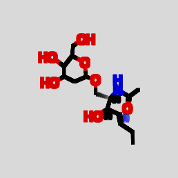 CC/C=C/[C@@H](O)[C@H](COC1CC(O)C(O)C(CO)O1)NC(C)=O